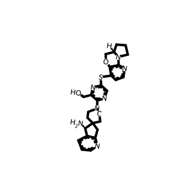 N[C@@H]1c2cccnc2CC12CCN(c1ncc(Sc3ccnc4c3OC[C@@H]3CCCN43)nc1CO)CC2